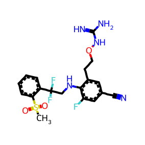 CS(=O)(=O)c1ccccc1C(F)(F)CNc1c(F)cc(C#N)cc1CCONC(=N)N